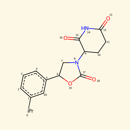 CC(C)c1cccc(C2CN(C3CCC(=O)NC3=O)C(=O)O2)c1